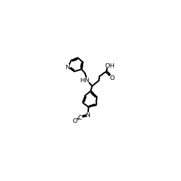 O=C=Nc1ccc(C(CCC(=O)O)NCc2cccnc2)cc1